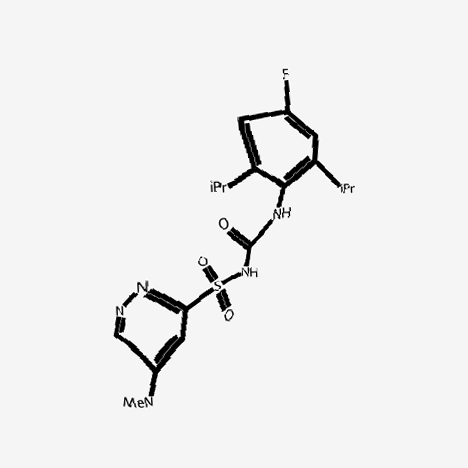 CNc1cnnc(S(=O)(=O)NC(=O)Nc2c(C(C)C)cc(F)cc2C(C)C)c1